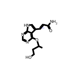 CC(CCO)Oc1ncnc2[nH]cc(/C=C/C(N)=O)c12